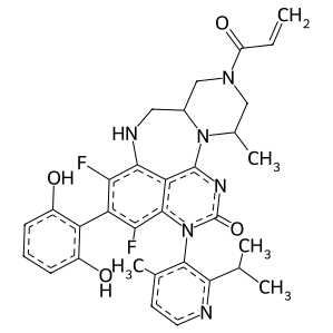 C=CC(=O)N1CC(C)N2c3nc(=O)n(-c4c(C)ccnc4C(C)C)c4c(F)c(-c5c(O)cccc5O)c(F)c(c34)NCC2C1